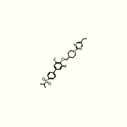 CCc1cnc(N2CCC(COc3c(F)cc(-c4ccc(S(=O)(=O)C(C)C)cc4)cc3F)CC2)nc1